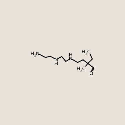 CCC(C)(C=O)CCNCCNCCN